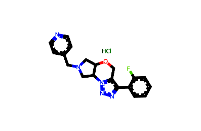 Cl.Fc1ccccc1-c1nnn2c1COC1CN(Cc3ccncc3)CC12